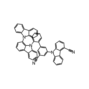 N#Cc1cc(-c2ccccc2-n2c3ccccc3c3cccc(-n4c5ccccc5c5ccccc54)c32)cc(-n2c3ccccc3c3c(C#N)cccc32)c1